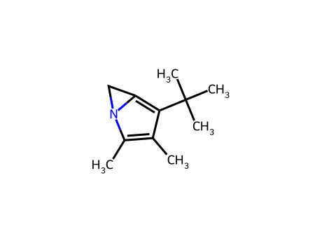 Cc1c(C(C)(C)C)c2n(c1C)C2